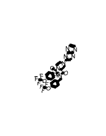 O=C(NCc1ccc(OC(F)(F)F)cc1)[C@H]1CN(c2cnc3nccnc3n2)CCN1S(=O)(=O)c1ccc(OC(F)(F)F)cc1